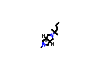 CCCC(C)(C)N1C[C@H]2CN(C)C[C@H]2C1